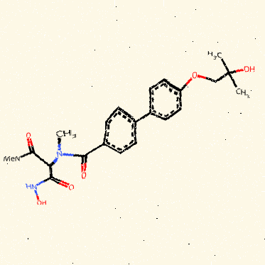 CNC(=O)C(C(=O)NO)N(C)C(=O)c1ccc(-c2ccc(OCC(C)(C)O)cc2)cc1